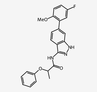 COc1ccc(F)cc1-c1ccc2c(NC(=O)C(C)Oc3ccccc3)n[nH]c2c1